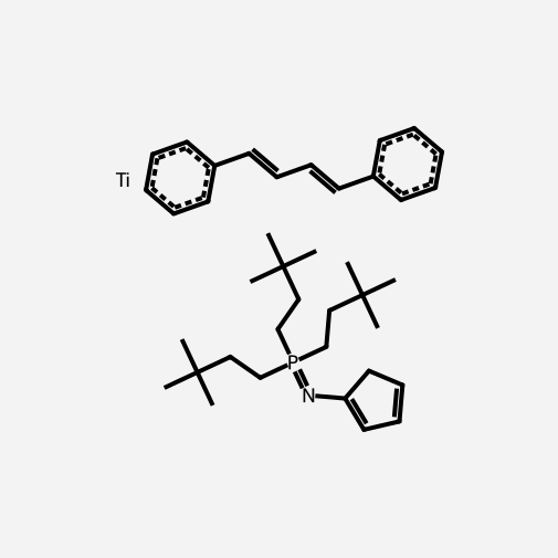 C(C=Cc1ccccc1)=Cc1ccccc1.CC(C)(C)CCP(CCC(C)(C)C)(CCC(C)(C)C)=NC1=CC=CC1.[Ti]